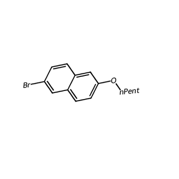 CCCCCOc1ccc2cc(Br)ccc2c1